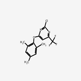 Cc1cc(C)c(Oc2cc(C(F)(F)F)nc(Cl)n2)c(C)c1